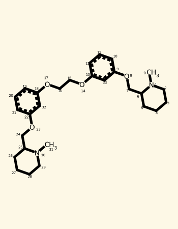 CN1CCCCC1COc1cccc(OCCOc2cccc(OCC3CCCCN3C)c2)c1